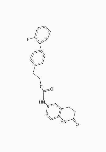 O=C(CCCc1ccc(-c2ccccc2F)cc1)Nc1ccc2c(c1)CCC(=O)N2